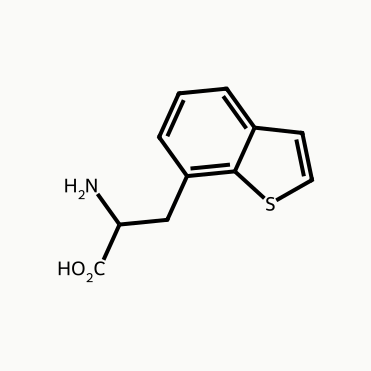 NC(Cc1cccc2ccsc12)C(=O)O